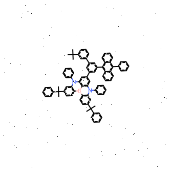 CC(C)(C)c1cccc(-c2cc(-c3cc4c5c(c3)N(c3ccccc3)c3cc(C(C)(C)c6ccccc6)ccc3B5c3ccc(C(C)(C)c5ccccc5)cc3N4c3ccccc3)cc(-c3c4ccccc4c(-c4ccccc4)c4ccccc34)c2)c1